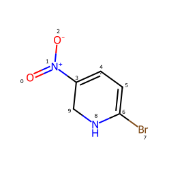 O=[N+]([O-])C1=[C]C=C(Br)NC1